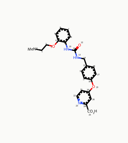 CNCCOc1ccccc1NC(=O)NCc1ccc(Oc2ccnc(C(=O)O)c2)cc1